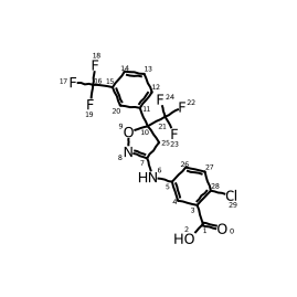 O=C(O)c1cc(NC2=NOC(c3cccc(C(F)(F)F)c3)(C(F)(F)F)C2)ccc1Cl